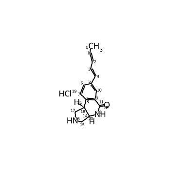 C/C=C/C=C/c1ccc2c(c1)C(=O)N[C@H]1CNC[C@H]21.Cl